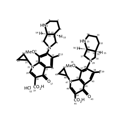 COc1c(N2C[C@@H]3CCCN[C@@H]3C2)c(F)cc2c(=O)c(C(=O)O)cn(C3CC3)c12.COc1c(N2C[C@@H]3CCCN[C@@H]3C2)c(F)cc2c(=O)c(C(=O)O)cn(C3CC3)c12.Cl